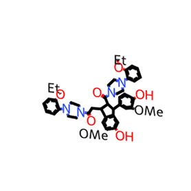 CCOc1ccccc1N1CCN(C(=O)CC2c3cc(OC)c(O)cc3C(c3ccc(O)c(OC)c3)C2C(=O)N2CCN(c3ccccc3OCC)CC2)CC1